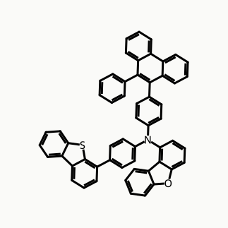 c1ccc(-c2c(-c3ccc(N(c4ccc(-c5cccc6c5sc5ccccc56)cc4)c4cccc5oc6ccccc6c45)cc3)c3ccccc3c3ccccc23)cc1